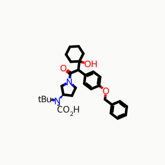 CC(C)(C)N(C(=O)O)[C@@H]1CCN(C(=O)C(c2ccc(OCc3ccccc3)cc2)C2(O)CCCCC2)C1